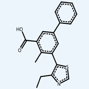 CCc1ncsc1-c1cc(-c2ccccc2)cc(C(=O)O)c1C